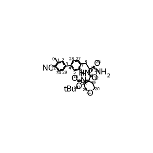 Cc1cc(-c2ccc(CC(NC(=O)C3(NC(=O)OC(C)(C)C)CCOCC3)C(N)=O)cc2)ccc1C#N